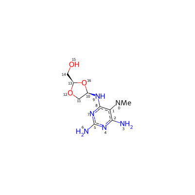 CNc1c(N)nc(N)nc1N[C@H]1CO[C@@H](CO)O1